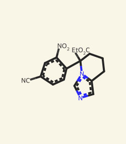 CCOC(=O)C1(c2ccc(C#N)cc2[N+](=O)[O-])CCCc2cncn21